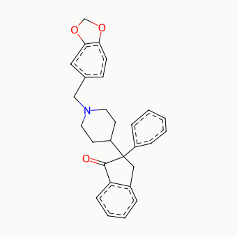 O=C1c2ccccc2CC1(c1ccccc1)C1CCN(Cc2ccc3c(c2)OCO3)CC1